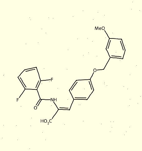 COc1cccc(COc2ccc(C=C(NC(=O)c3c(F)cccc3F)C(=O)O)cc2)c1